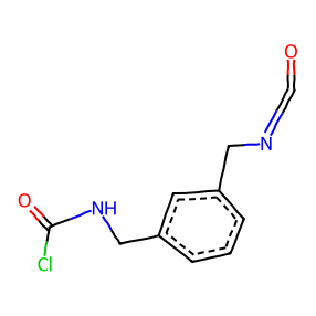 O=C=NCc1cccc(CNC(=O)Cl)c1